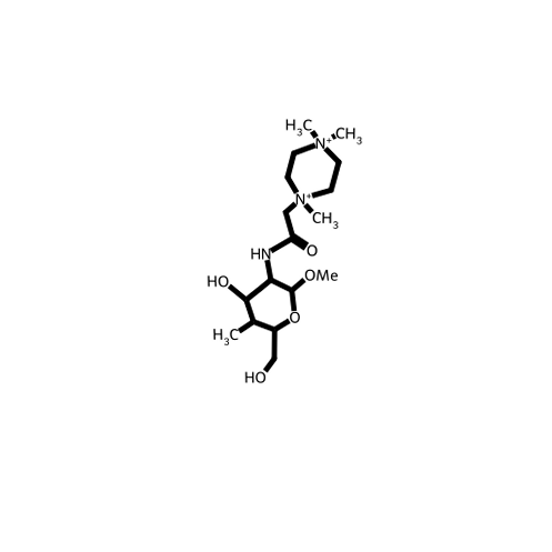 COC1OC(CO)C(C)C(O)C1NC(=O)C[N+]1(C)CC[N+](C)(C)CC1